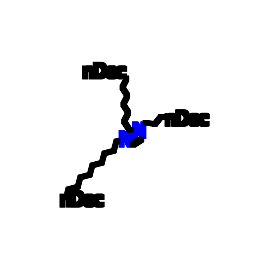 CCCCCCCCCCCCCCCCCCCN1C=CN(CCCCCCCCCCCCC)C1CCCCCCCCCCCCCCCC